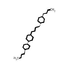 C=CCC[C@H]1CC[C@H](CCCCC2CCC([C@H]3CC[C@H](CCCC)CC3)CC2)CC1